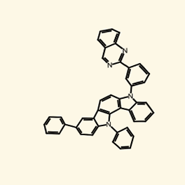 c1ccc(-c2ccc3c(c2)c2ccc4c(c5ccccc5n4-c4cccc(-c5ncc6ccccc6n5)c4)c2n3-c2ccccc2)cc1